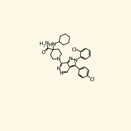 NC(=O)C1(NC2CCCCC2)CCN(c2nncc3c(-c4ccc(Cl)cc4)n(-c4ccccc4Cl)nc23)CC1